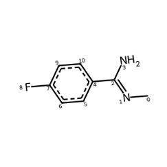 C/N=C(\N)c1ccc(F)cc1